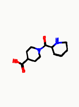 O=C(O)C1CCN(C(=O)C2CCCCN2)CC1